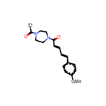 CCC(=O)N1CCN(C(=O)/C=C/C=C/c2ccc(OC)cc2)CC1